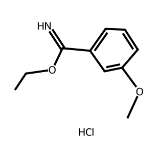 CCOC(=N)c1cccc(OC)c1.Cl